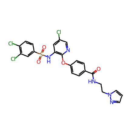 O=C(NCCn1cccn1)c1ccc(Oc2ncc(Cl)cc2NS(=O)(=O)c2ccc(Cl)c(Cl)c2)cc1